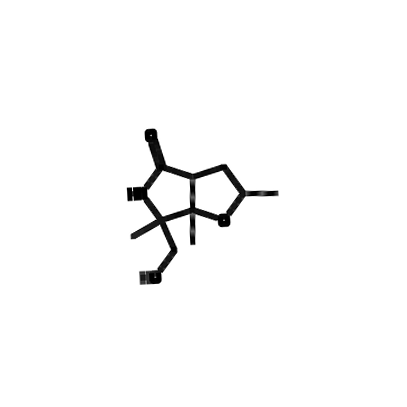 CC1CC2C(=O)NC(C)(CO)C2(C)O1